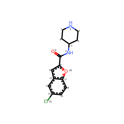 O=C(NC1CCNCC1)c1cc2cc(Cl)ccc2o1